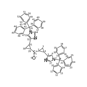 [O-][S+](C1CC1c1cn(C(c2ccccc2)(c2ccccc2)c2ccccc2)cn1)C1CC1c1cn(C(c2ccccc2)(c2ccccc2)c2ccccc2)cn1